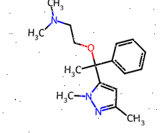 Cc1cc(C(C)(OCCN(C)C)c2ccccc2)n(C)n1